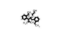 CCc1ccccc1CC(C)(OCCO)C(c1ccccc1CC)C(C)C